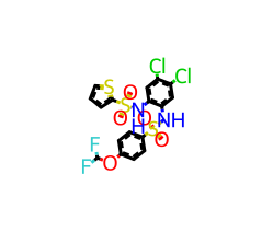 O=S(=O)(Nc1cc(Cl)c(Cl)cc1NS(=O)(=O)c1cccs1)c1ccc(OC(F)F)cc1